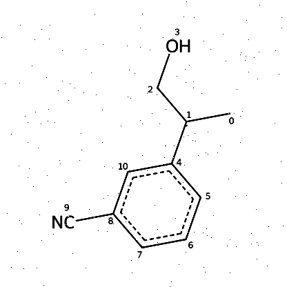 C[C](CO)c1cccc(C#N)c1